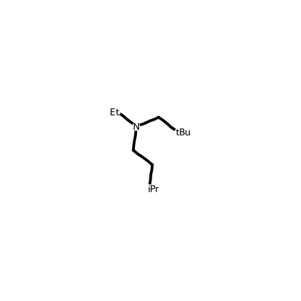 CCN(CCC(C)C)CC(C)(C)C